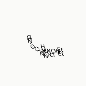 CCN(CC)c1ccc(Nc2c(Cl)cnc3nc(-c4ccc(OCCN5CCOCC5)cc4)[nH]c23)cc1